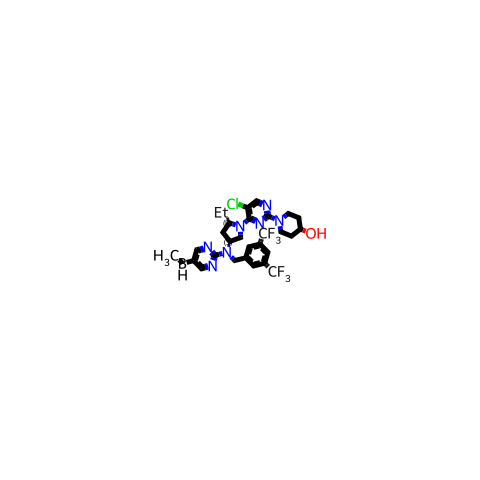 CBc1cnc(N(Cc2cc(C(F)(F)F)cc(C(F)(F)F)c2)[C@H]2C[C@@H](CC)N(c3nc(N4CCC(O)CC4)ncc3Cl)C2)nc1